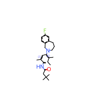 C=C(NC(=O)CC(C)(C)C)/C(C)=C\C(=C(\C)CC)N1CCCc2cc(F)ccc2C1